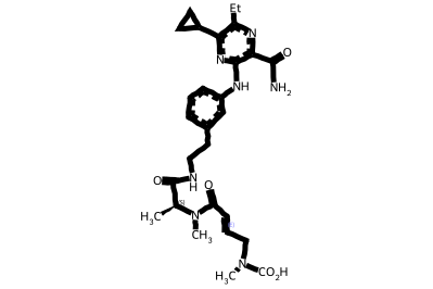 CCc1nc(C(N)=O)c(Nc2cccc(CCNC(=O)[C@H](C)N(C)C(=O)/C=C/CN(C)C(=O)O)c2)nc1C1CC1